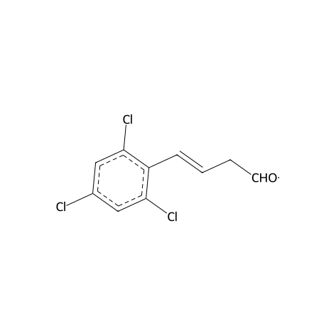 O=[C]C/C=C/c1c(Cl)cc(Cl)cc1Cl